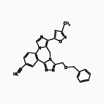 C#Cc1ccc2c(c1)-c1nnc(COCc3ccccc3)n1Cc1c(-c3cc(C)no3)ncn1-2